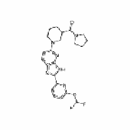 O=C(C1CCCN(c2ccc3nc(-c4cccc(OC(F)F)n4)[nH]c3n2)C1)N1CCCC1